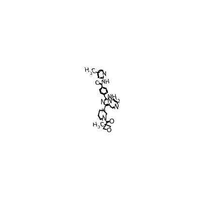 Cc1ccnc(NC(=O)c2ccc(C3=NC([C@@H]4CCCN(C(=O)C5(C)COC5)C4)=C4C=NC=C[N+]34N)cc2)c1